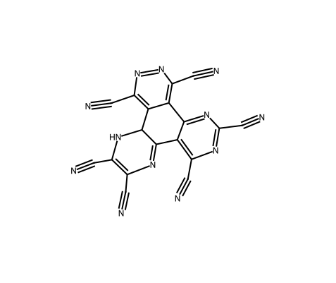 N#CC1=C(C#N)NC2C(=N1)c1c(C#N)nc(C#N)nc1-c1c(C#N)nnc(C#N)c12